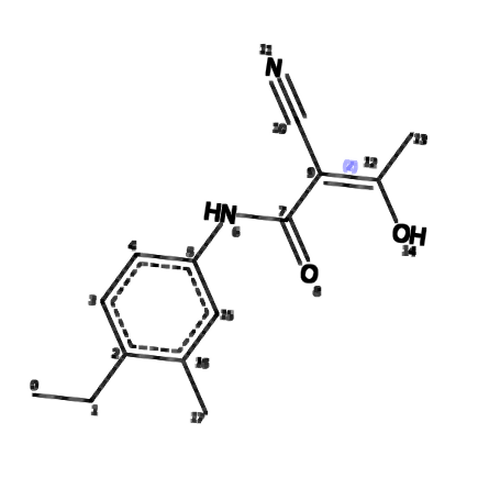 CCc1ccc(NC(=O)/C(C#N)=C(/C)O)cc1C